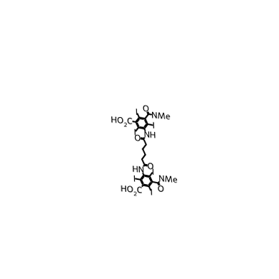 CNC(=O)c1c(I)c(NC(=O)CCCCC(=O)Nc2c(I)c(C(=O)O)c(I)c(C(=O)NC)c2I)c(I)c(C(=O)O)c1I